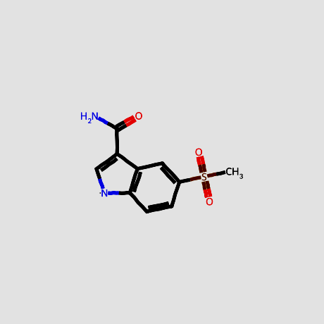 CS(=O)(=O)c1ccc2c(c1)C(C(N)=O)=C[N]2